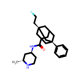 C[C@@H]1C[C@@H](NC(=O)C23CC4C[C@@](CCF)(C2)C[C@](c2ccccc2)(C4)C3)CCN1